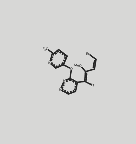 CC/C=C\C(OC)=C(/CC)c1ccnnc1Oc1ccc(C(F)(F)F)nc1